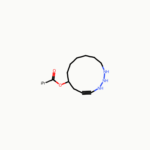 CC(C)C(=O)OC1CC#CNNNCCCCCC1